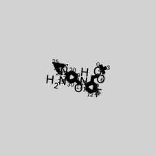 CC(C)(C)OC(=O)Cc1cc(F)ccc1NC(=O)c1ccc(N2CC3CC3C2)c(N)c1